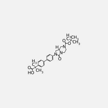 CC(C)(C)OC(=O)N1CCN2C(=O)N(c3ccc(-c4ccc(C(C)(C)C(=O)O)cc4)cc3)C[C@@H]2C1